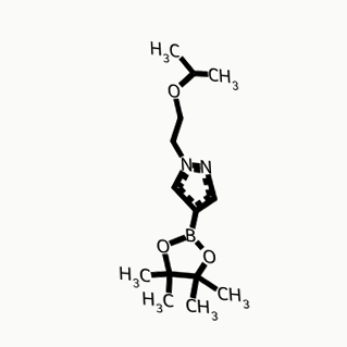 CC(C)OCCn1cc(B2OC(C)(C)C(C)(C)O2)cn1